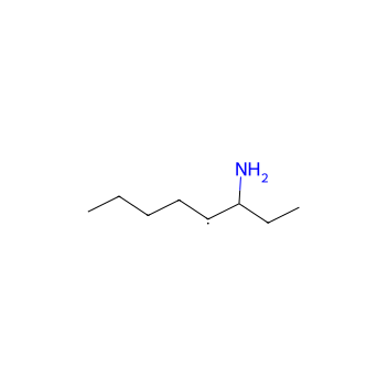 CCCC[CH]C(N)CC